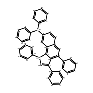 c1ccc(-c2cc3ccc(P(c4ccccc4)c4ccccc4)cc3c3c2c(-c2ccccc2)nn3-c2ccccc2)cc1